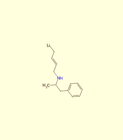 [Li][CH2]C=CCNC(C)Cc1ccccc1